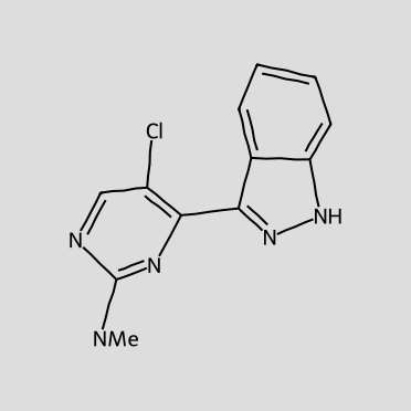 CNc1ncc(Cl)c(-c2n[nH]c3ccccc23)n1